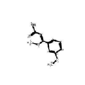 COC(=CC(=O)O)c1cccc(OC)c1